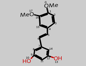 COc1ccc(C=Cc2cc(O)cc(O)c2)cc1OC